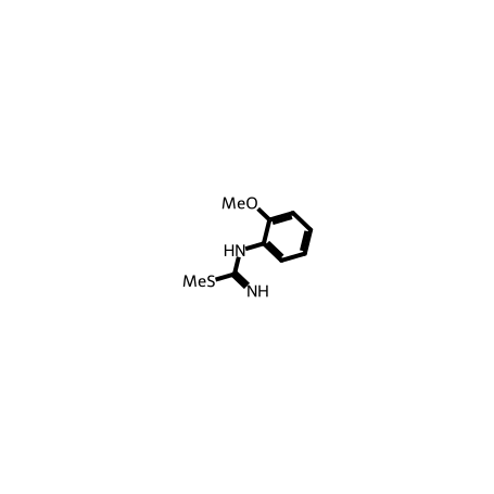 COc1ccccc1NC(=N)SC